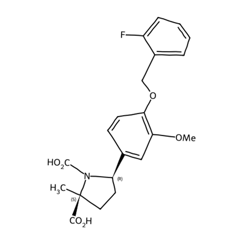 COc1cc([C@H]2CC[C@@](C)(C(=O)O)N2C(=O)O)ccc1OCc1ccccc1F